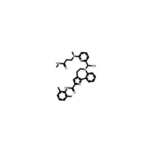 CNC(=O)CCN(C)c1cccc(C(O)N2CCc3cc(C(=O)Nc4c(C)cccc4F)sc3-c3ccccc32)n1